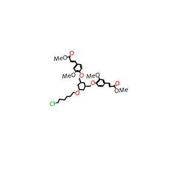 COC(=O)/C=C/c1ccc(OCC2CC(COc3ccc(/C=C/C(=O)OC)cc3OC)CC(OCCCCCCCl)C2)c(OC)c1